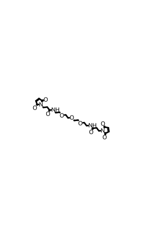 O=C(CCN1C(=O)C=CC1=O)NCCOCCOCCOCCNC(=O)CCN1C(=O)C=CC1=O